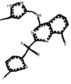 Cc1cc(Nc2nc(C(F)(F)c3ccc(F)cn3)nc3c(F)cccc23)n[nH]1